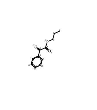 CCCOC(=O)C(=O)c1ccccc1